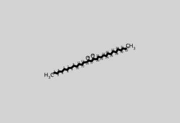 CCCCCCCCCCCCCCCC(=O)CC(=O)CCCCCCCCCCCCCC